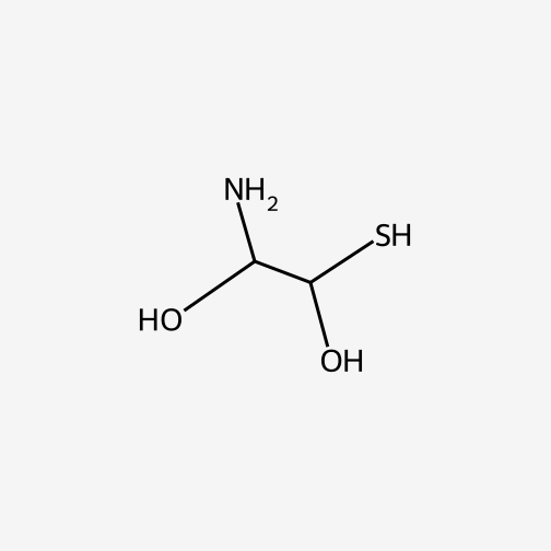 NC(O)C(O)S